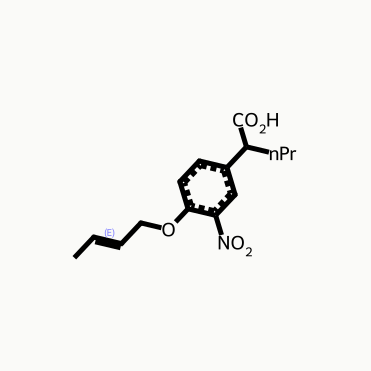 C/C=C/COc1ccc(C(CCC)C(=O)O)cc1[N+](=O)[O-]